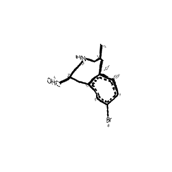 CC1NC(C=O)c2cc(Br)ccc21